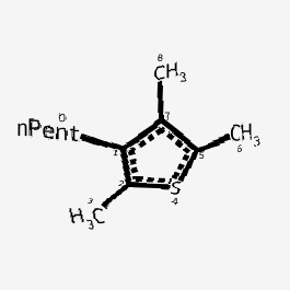 [CH2]CCCCc1c(C)sc(C)c1C